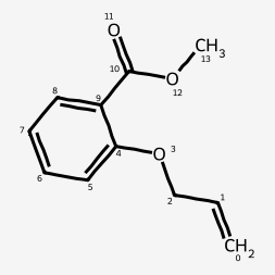 C=CCOc1cc[c]cc1C(=O)OC